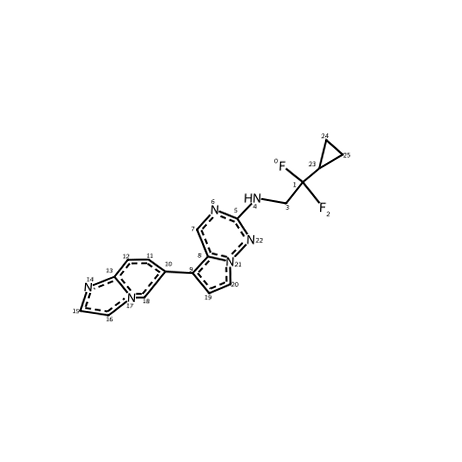 FC(F)(CNc1ncc2c(-c3ccc4nccn4c3)ccn2n1)C1CC1